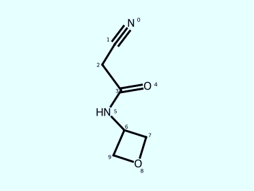 N#CCC(=O)NC1COC1